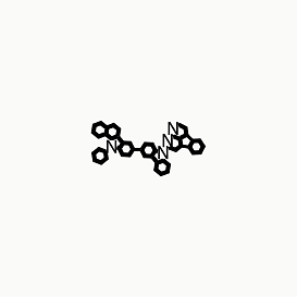 c1ccc(-n2c3ccc(-c4ccc5c(c4)c4ccccc4n5-c4cc5c6c(ccnc6n4)-c4ccccc4-5)cc3c3ccc4ccccc4c32)cc1